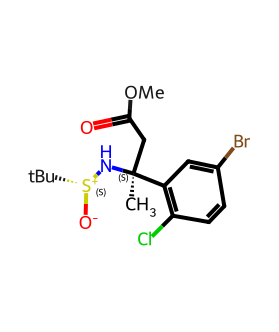 COC(=O)C[C@](C)(N[S@+]([O-])C(C)(C)C)c1cc(Br)ccc1Cl